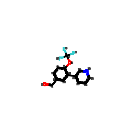 O=Cc1ccc(OC(F)(F)F)c(-c2cccnc2)c1